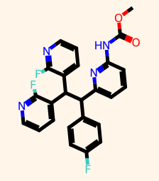 COC(=O)Nc1cccc(C(c2ccc(F)cc2)C(c2cccnc2F)c2cccnc2F)n1